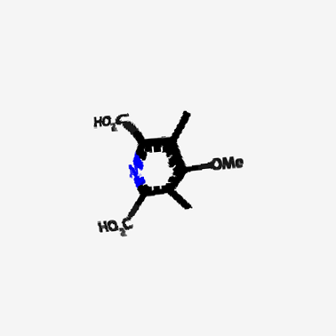 COc1c(C)c(C(=O)O)nc(C(=O)O)c1C